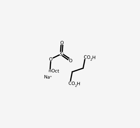 CCCCCCCCO[S-](=O)=O.O=C(O)CCC(=O)O.[Na+]